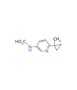 CC1(c2ccc(NC(=O)O)cn2)CC1